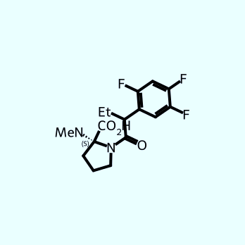 CCC(C(=O)N1CCC[C@@]1(NC)C(=O)O)c1cc(F)c(F)cc1F